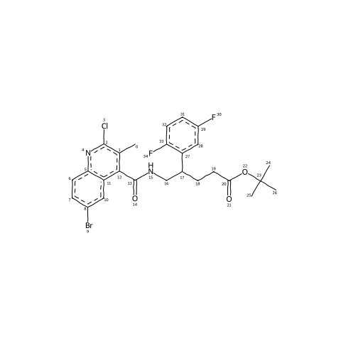 Cc1c(Cl)nc2ccc(Br)cc2c1C(=O)NCC(CCC(=O)OC(C)(C)C)c1cc(F)ccc1F